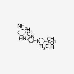 Cc1nc(N2CCC(C(C)(C)O)CC2)ccc1NC1CCC(N)CC1